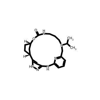 CC(C)N1CCCNC(=O)O[C@H]2CC[C@H](C2)c2cc(n[nH]2)Nc2cccc(n2)C1